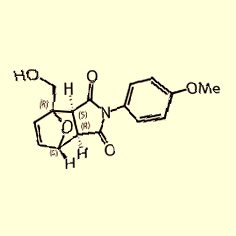 COc1ccc(N2C(=O)[C@H]3[C@@H]4C=C[C@@](CO)(O4)[C@H]3C2=O)cc1